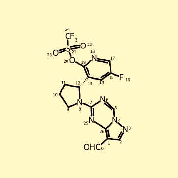 O=Cc1cnn2cnc(N3CCC[C@@H]3c3cc(F)cnc3OS(=O)(=O)C(F)(F)F)nc12